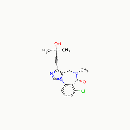 CN1Cc2c(C#CC(C)(C)O)ncn2-c2cccc(Cl)c2C1=O